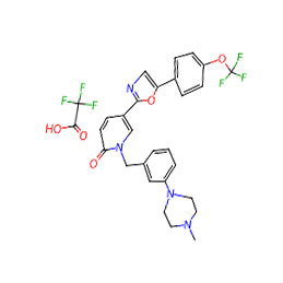 CN1CCN(c2cccc(Cn3cc(-c4ncc(-c5ccc(OC(F)(F)F)cc5)o4)ccc3=O)c2)CC1.O=C(O)C(F)(F)F